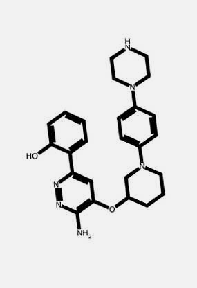 Nc1nnc(-c2ccccc2O)cc1OC1CCCN(c2ccc(N3CCNCC3)cc2)C1